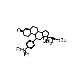 CCN(CC)c1ccc(C2CC3(C)C(CCC3(O)C#CC(C)(C)C)C3CCC4=CC(=O)CCC4C23)cc1